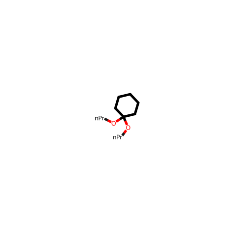 CCCOC1(OCCC)CCCCC1